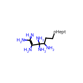 CCCCCCCCCC(N)C(N)(N)C(N)=C(N)N